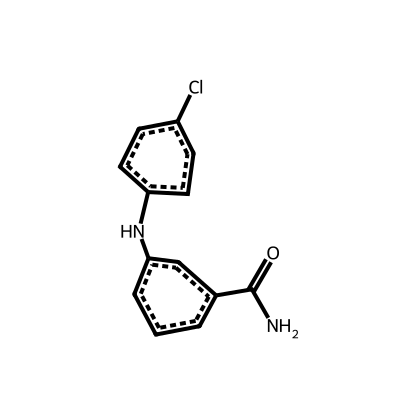 NC(=O)c1cccc(Nc2ccc(Cl)cc2)c1